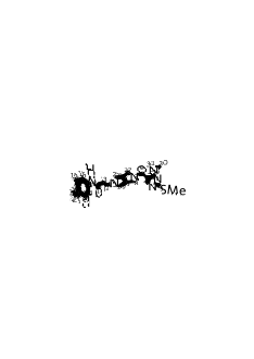 CSc1ncc(C(=O)N2CC3CN(CCC(=O)Nc4ccc(C)c(Cl)c4)CC3C2)c(N(C)C)n1